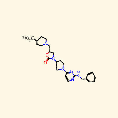 CCOC(=O)C1CCN(CC2CN(C3CCN(c4ccnc(NCc5ccccc5)n4)CC3)C(=O)O2)CC1